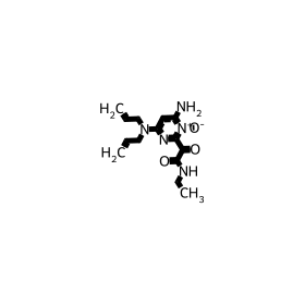 C=CCN(CC=C)c1cc(N)[n+]([O-])c(C(=O)C(=O)NCC)n1